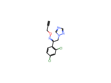 C#CCON=C(Cn1cncn1)c1ccc(Cl)cc1Cl